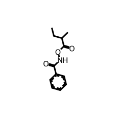 CCC(C)C(=O)ONC(=O)c1ccccc1